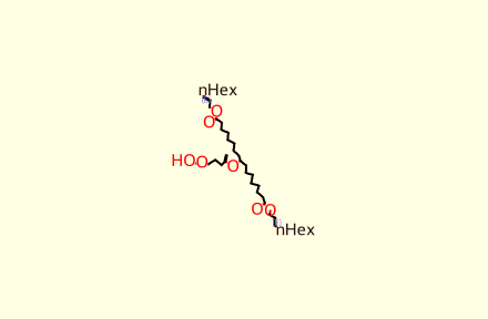 C=C(CCCOCO)OC(CCCCCCCC(=O)OC/C=C/CCCCCC)CCCCCCCC(=O)OC/C=C/CCCCCC